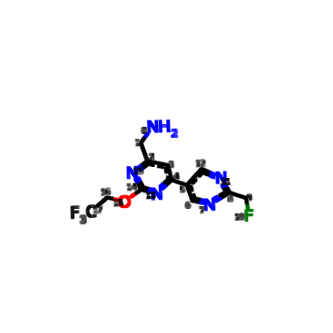 NCc1cc(-c2cnc(CF)nc2)nc(OCC(F)(F)F)n1